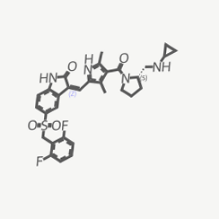 Cc1[nH]c(/C=C2\C(=O)Nc3ccc(S(=O)(=O)Cc4c(F)cccc4F)cc32)c(C)c1C(=O)N1CCC[C@H]1CNC1CC1